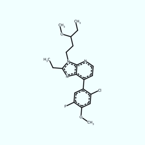 CCc1nc2c(-c3cc(F)c(OC)cc3Cl)ccnc2n1CCC(CC)OC